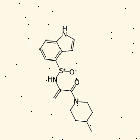 C=C(N[S+]([O-])c1cccc2[nH]ccc12)C(=O)N1CCC(C)CC1